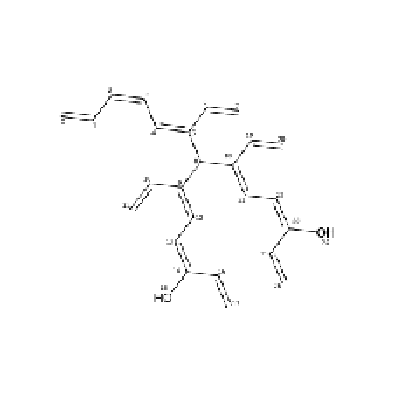 C=C/C=C\C=C(/C=C)C(/C(C=C)=C/C=C(/O)C=C)/C(C=C)=C/C=C(/O)C=C